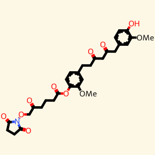 COc1cc(CC(=O)CC(=O)CCc2ccc(OC(=O)CCCC(=O)CON3C(=O)CCC3=O)c(OC)c2)ccc1O